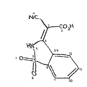 N#CC(C(=O)O)=C1NS(=O)(=O)c2ccccc21